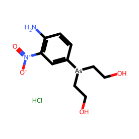 Cl.Nc1ccc([As](CCO)CCO)cc1[N+](=O)[O-]